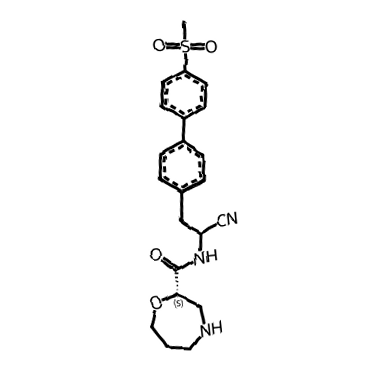 CS(=O)(=O)c1ccc(-c2ccc(CC(C#N)NC(=O)[C@@H]3CNCCCO3)cc2)cc1